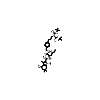 CCCCC(NC(=O)c1[nH]c2c(c1C)C(=O)CC(C)(C)C2)C(=O)NCc1ccc(CCCN(C(=O)OC(C)(C)C)C(=O)OC(C)(C)C)cc1